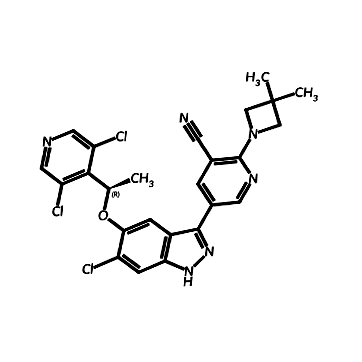 C[C@@H](Oc1cc2c(-c3cnc(N4CC(C)(C)C4)c(C#N)c3)n[nH]c2cc1Cl)c1c(Cl)cncc1Cl